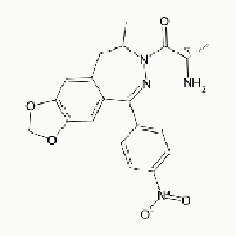 CC1Cc2cc3c(cc2C(c2ccc([N+](=O)[O-])cc2)=NN1C(=O)[C@H](C)N)OCO3